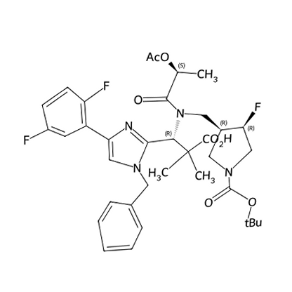 CC(=O)O[C@@H](C)C(=O)N(C[C@@H]1CN(C(=O)OC(C)(C)C)C[C@@H]1F)[C@@H](c1nc(-c2cc(F)ccc2F)cn1Cc1ccccc1)C(C)(C)C(=O)O